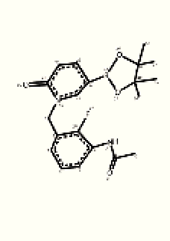 CC(=O)Nc1cccc(Cn2cc(B3OC(C)(C)C(C)(C)O3)ccc2=O)c1F